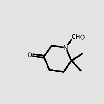 CC1(C)CCC(=O)CN1C=O